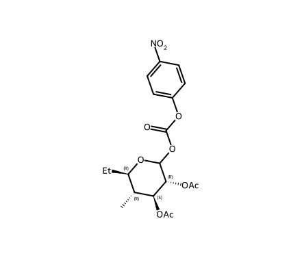 CC[C@H]1OC(OC(=O)Oc2ccc([N+](=O)[O-])cc2)[C@H](OC(C)=O)[C@@H](OC(C)=O)[C@@H]1C